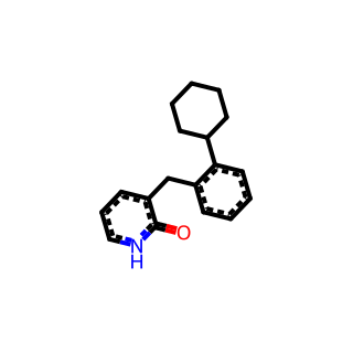 O=c1[nH]cccc1Cc1ccccc1C1CCCCC1